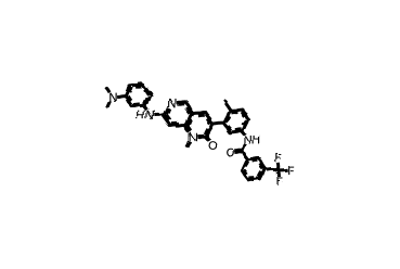 Cc1ccc(NC(=O)c2cccc(C(F)(F)F)c2)cc1-c1cc2cnc(Nc3cccc(N(C)C)c3)cc2n(C)c1=O